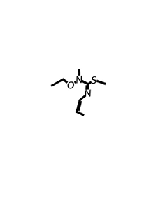 C/C=C\N=C(\SC)N(C)OCC